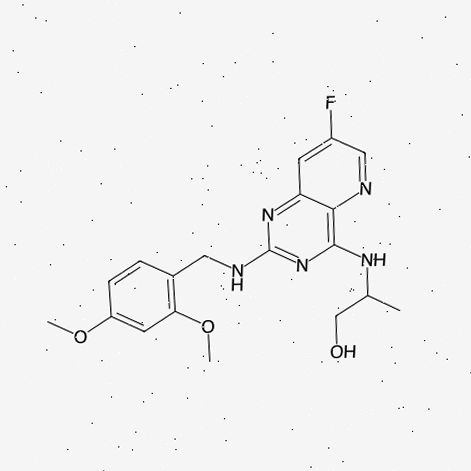 COc1ccc(CNc2nc(NC(C)CO)c3ncc(F)cc3n2)c(OC)c1